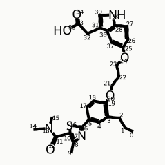 CCCc1cc(-c2nc(C)c(C(=O)N(C)C)s2)ccc1OCCCOc1ccc2[nH]cc(CC(=O)O)c2c1